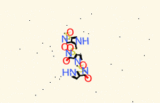 CS1(=O)=NC(=O)c2c1c[nH]c2CS1(=O)=NC(=O)c2c1ccn2CS1(=O)=NC(=O)c2cc[nH]c21